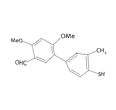 COc1cc(OC)c(-c2ccc(S)c(C)c2)cc1C=O